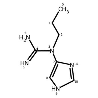 CCCN(C(=N)N)c1c[nH]cn1